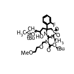 COCCOCN(C(=O)OC(C)(C)C)C1=NC(CC(O)CO[Si](C)(C)C(C)(C)C)(c2ccccc2F)CS(=O)(=O)N1C